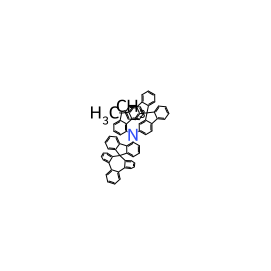 CC1(C)c2ccccc2-c2c(N(c3ccc4c(c3)C3(c5ccccc5-c5ccccc53)c3ccccc3-4)c3cccc4c3-c3ccccc3C43c4ccccc4-c4ccccc4-c4ccccc43)cccc21